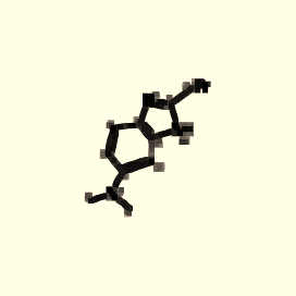 CC(C)c1nc2ccc(N(C)C)cc2[nH]1